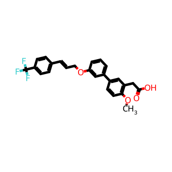 COc1ccc(-c2cccc(OCC=Cc3ccc(C(F)(F)F)cc3)c2)cc1CC(=O)O